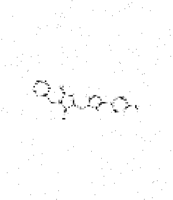 O=C1S/C(=C\c2ccc(-c3ccc(Cl)cc3)s2)C(=O)N1Cc1ccccc1